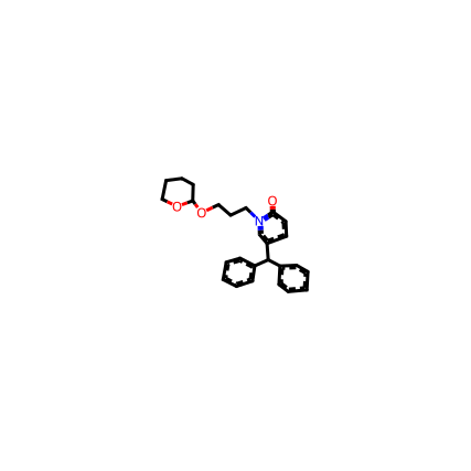 O=c1ccc(C(c2ccccc2)c2ccccc2)cn1CCCOC1CCCCO1